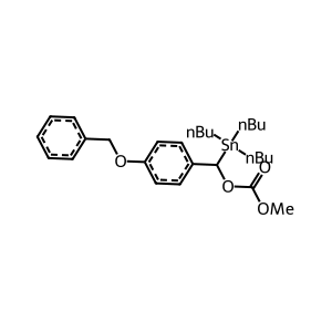 CCC[CH2][Sn]([CH2]CCC)([CH2]CCC)[CH](OC(=O)OC)c1ccc(OCc2ccccc2)cc1